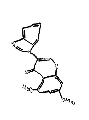 COc1cc(OC)c2c(=S)c(-n3cnc4ccccc43)coc2c1